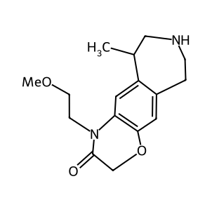 COCCN1C(=O)COc2cc3c(cc21)C(C)CNCC3